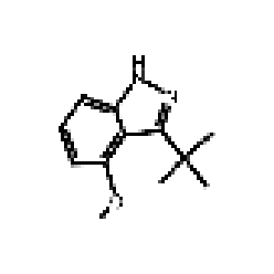 COc1cccc2[nH]nc(C(C)(C)C)c12